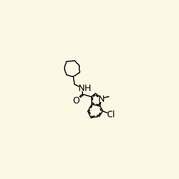 Cn1cc(C(=O)NCC2CCCCCC2)c2cccc(Cl)c21